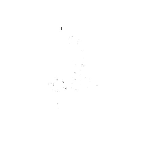 CCCCOC(=O)NN(CC(O)(c1ccc(F)cc1F)C(F)(F)c1ccc(Oc2ccc(C#N)cc2)cn1)C(N)=S